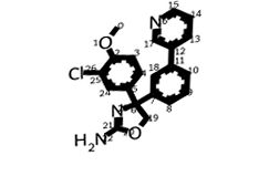 COc1ccc(C2(c3cccc(-c4cccnc4)c3)COC(N)=N2)cc1Cl